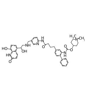 C[N+]1(C)CCC(OC(=O)Nc2cc(CCCC(=O)Nc3ccc(CNC[C@@H](O)c4ccc(O)c5[nH]c(=O)ccc45)cn3)ccc2-c2ccccc2)CC1